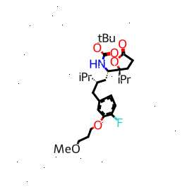 COCCCOc1cc(C[C@@H](C[C@H](NC(=O)OC(C)(C)C)[C@@]2(C(C)C)CCC(=O)O2)C(C)C)ccc1F